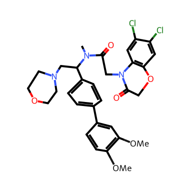 COc1ccc(-c2ccc(C(CN3CCOCC3)N(C)C(=O)CN3C(=O)COc4cc(Cl)c(Cl)cc43)cc2)cc1OC